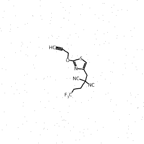 [C-]#[N+]C(C#N)(CCC(F)(F)F)Cc1csc(OCC#C)n1